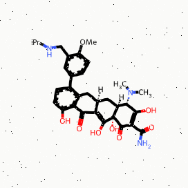 COc1ccc(-c2ccc(O)c3c2C[C@H]2C[C@H]4[C@H](N(C)C)C(O)=C(C(N)=O)C(=O)[C@@]4(O)C(O)=C2C3=O)cc1CNC(C)C